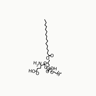 CCCCCCCCCCCCCCCC(=O)OCC(COP(=O)(O)OCC[N+](C)(C)C)OC(=O)C(N)CCC(=O)O